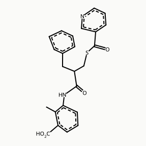 Cc1c(NC(=O)C(CSC(=O)c2cccnc2)Cc2ccccc2)cccc1C(=O)O